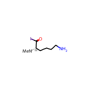 CN[C@@H](CCCCN)C(=O)I